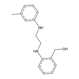 Cc1cccc(NCCNc2ccccc2CO)c1